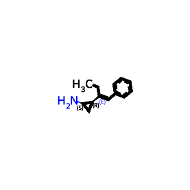 CC/C(=C\c1ccccc1)[C@H]1C[C@@H]1N